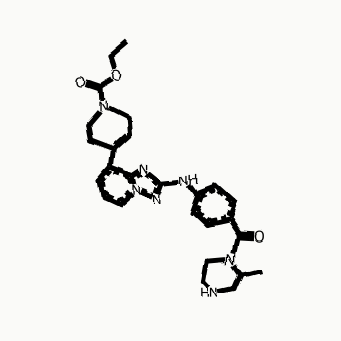 CCOC(=O)N1CC=C(c2cccn3nc(Nc4ccc(C(=O)N5CCNCC5C)cc4)nc23)CC1